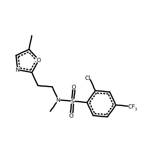 Cc1cnc(CCN(C)S(=O)(=O)c2ccc(C(F)(F)F)cc2Cl)o1